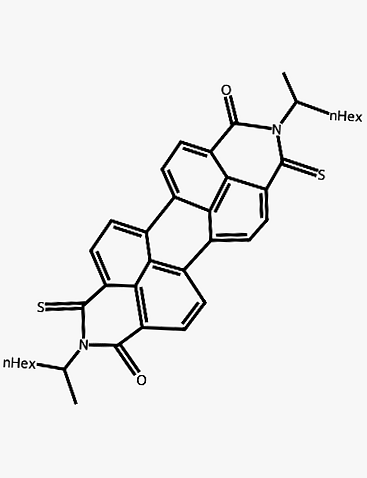 CCCCCCC(C)N1C(=O)c2ccc3c4ccc5c6c(ccc(c7ccc(c2c37)C1=S)c64)C(=O)N(C(C)CCCCCC)C5=S